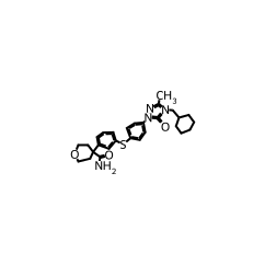 Cc1nn(-c2ccc(Sc3cccc(C4(C(N)=O)CCOCC4)c3)cc2)c(=O)n1CC1CCCCC1